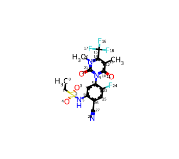 CCS(=O)(=O)Nc1cc(-n2c(=O)c(C)c(C(F)(F)F)n(C)c2=O)c(F)cc1C#N